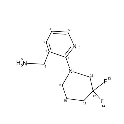 NCc1cccnc1N1CCCC(F)(F)C1